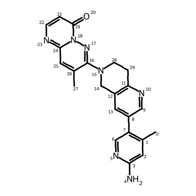 Cc1cc(N)ncc1-c1cnc2c(c1)CN(c1nn3c(=O)ccnc3cc1C)CC2